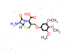 COc1cc(OCC2=C(C(=O)O)N3C(=O)C(N)[C@@H]3SC2)cc(OC)c1OC